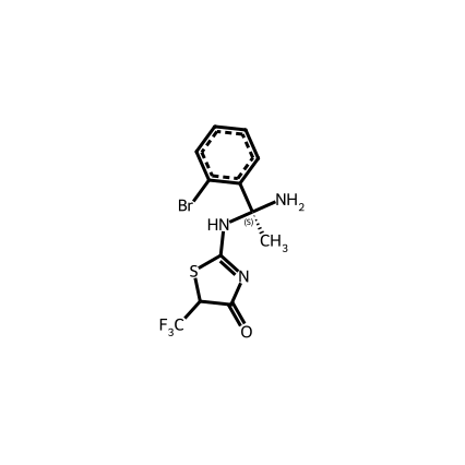 C[C@](N)(NC1=NC(=O)C(C(F)(F)F)S1)c1ccccc1Br